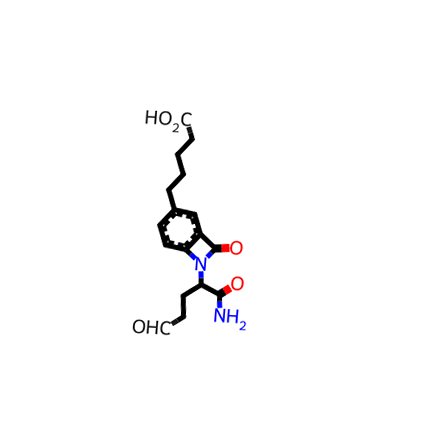 NC(=O)C(CCC=O)N1C(=O)c2cc(CCCCC(=O)O)ccc21